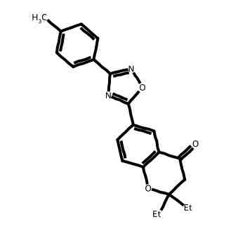 CCC1(CC)CC(=O)c2cc(-c3nc(-c4ccc(C)cc4)no3)ccc2O1